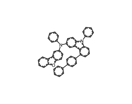 c1ccc(-c2ccc(-c3cccc4c3c3cc(N(c5ccccc5)c5ccc6oc7ccccc7c6c5)ccc3n4-c3ccccc3)cc2)cc1